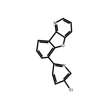 CCc1ccc(-c2cccc3c2oc2cccnc23)nc1